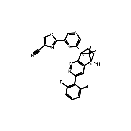 CC1(C)[C@H]2CC[C@]1(c1cncc(-c3nc(C#N)co3)n1)c1nnc(-c3c(F)cccc3F)cc12